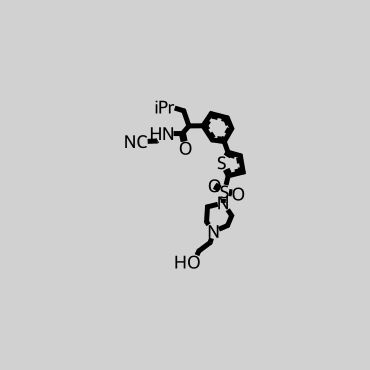 CC(C)CC(C(=O)NCC#N)c1cccc(-c2ccc(S(=O)(=O)N3CCN(CCO)CC3)s2)c1